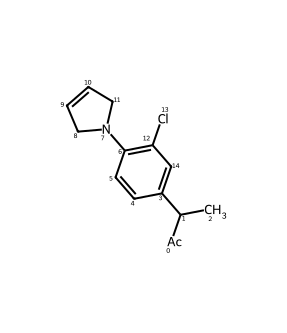 CC(=O)C(C)c1ccc(N2CC=CC2)c(Cl)c1